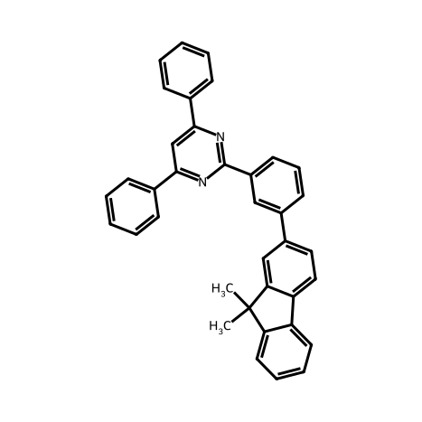 CC1(C)c2ccccc2-c2ccc(-c3cccc(-c4nc(-c5ccccc5)cc(-c5ccccc5)n4)c3)cc21